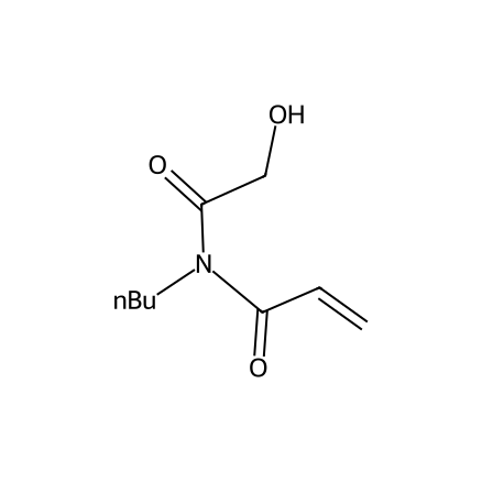 C=CC(=O)N(CCCC)C(=O)CO